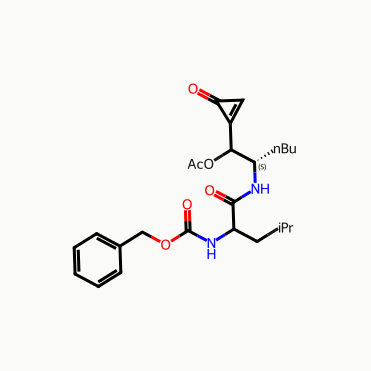 CCCC[C@H](NC(=O)C(CC(C)C)NC(=O)OCc1ccccc1)C(OC(C)=O)c1cc1=O